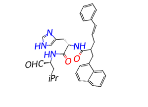 CC(C)C[C@@H](C=O)NC(=O)[C@H](Cc1c[nH]cn1)NC(=O)C(CC=Cc1ccccc1)Cc1cccc2ccccc12